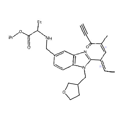 C#CC(=O)/C(C)=C\C(=C/C)c1nc2cc(CNC(CC)C(=O)OC(C)C)ccc2n1CC1CCOC1